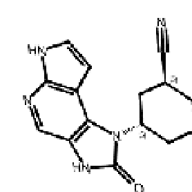 N#C[C@H]1CCC[C@H](n2c(=O)[nH]c3cnc4[nH]ccc4c32)C1